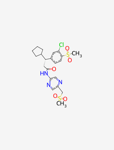 CS(=O)(=O)Cc1cnc(NC(=O)C[C@@H](c2ccc(S(C)(=O)=O)c(Cl)c2)C2CCCC2)cn1